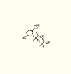 O=C(O)C(F)(F)F.O=C(O)C(F)(F)F.OC1CCN(C2CNC2)CC1